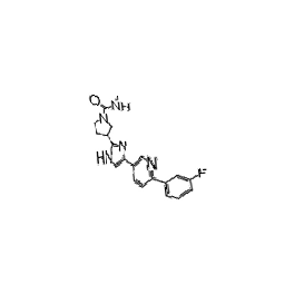 CNC(=O)N1CC[C@H](c2nc(-c3ccc(-c4cccc(F)c4)nc3)c[nH]2)C1